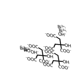 O=C([O-])CC(O)(CC(=O)[O-])C(=O)[O-].O=C([O-])CC(O)(CC(=O)[O-])C(=O)[O-].O=C([O-])CC(O)(CC(=O)[O-])C(=O)[O-].[Bi+3].[Bi+3].[Bi+3].[Bi+3].[OH-].[OH-].[OH-]